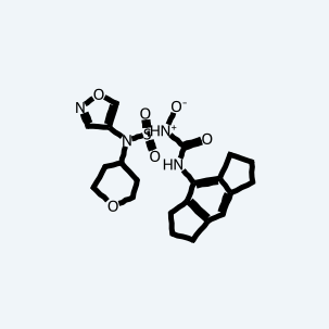 O=C(Nc1c2c(cc3c1CCC3)CCC2)[NH+]([O-])S(=O)(=O)N(c1cnoc1)C1CCOCC1